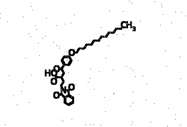 CCCCCCCCCCCCCCOc1ccc(C(=O)CC(CCN2C(=O)c3ccccc3C2=O)C(=O)O)cc1